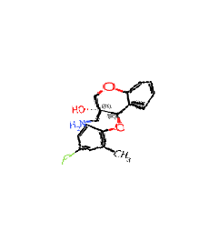 Cc1cc(F)ccc1O[C@@H]1c2ccccc2OC[C@]1(O)CN